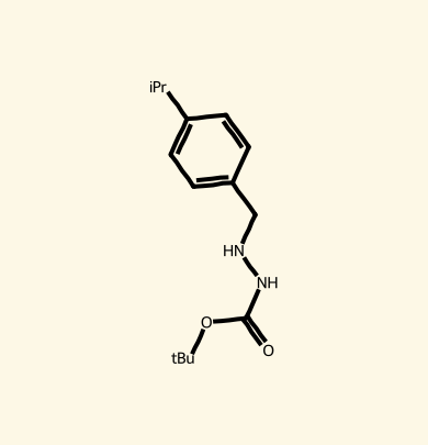 CC(C)c1ccc(CNNC(=O)OC(C)(C)C)cc1